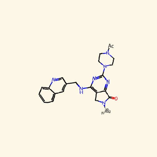 CC[C@H](C)N1Cc2c(NCc3cnc4ccccc4c3)nc(N3CCN(C(C)=O)CC3)nc2C1=O